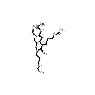 CCOCCCN(CCCOCC)C(=O)N(CCCOCC)CCCOCC